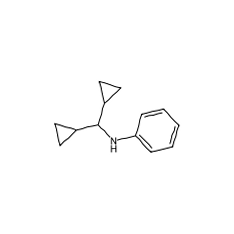 c1ccc(NC(C2CC2)C2CC2)cc1